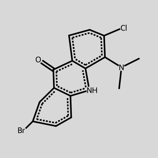 CN(C)c1c(Cl)ccc2c(=O)c3cc(Br)ccc3[nH]c12